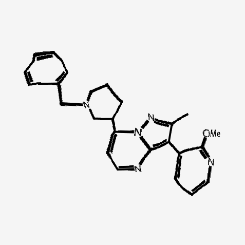 COc1ncccc1-c1c(C)nn2c(C3CCCN(Cc4ccccc4)C3)ccnc12